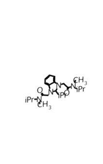 CC(C)C1N(CC(=O)N(C)C(C)C)c2ccccc2N1CC(=O)N(C)C(C)C